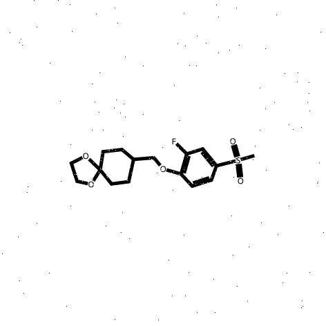 CS(=O)(=O)c1ccc(OCC2CCC3(CC2)OCCO3)c(F)c1